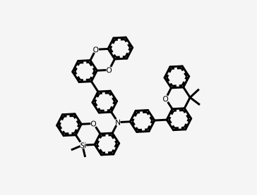 CC1(C)c2ccccc2Oc2c(-c3ccc(N(c4ccc(-c5cccc6c5Oc5ccccc5O6)cc4)c4cccc5c4Oc4ccccc4[Si]5(C)C)cc3)cccc21